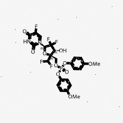 COc1ccc(OP(=O)(OC[C@@]2(C(F)F)O[C@@H](n3cc(F)c(=O)[nH]c3=O)C(F)(F)[C@@H]2O)Oc2ccc(OC)cc2)cc1